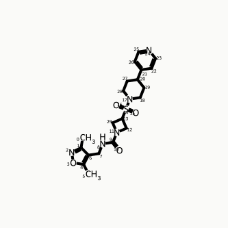 Cc1noc(C)c1CNC(=O)N1CC(S(=O)(=O)N2CCC(c3ccncc3)CC2)C1